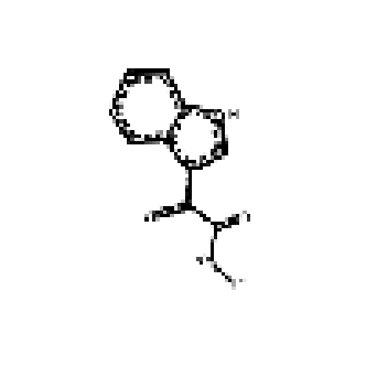 CC(C)NC(=O)C(=O)c1c[nH]c2ccccc12